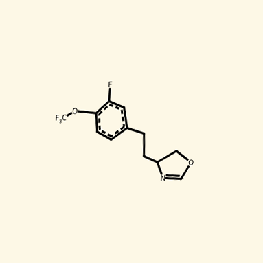 Fc1cc(CCC2CO[C]=N2)ccc1OC(F)(F)F